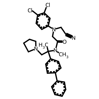 CN(C(=O)CN(CC#N)c1ccc(Cl)c(Cl)c1)C(C)(CN1CCCC1)c1ccc(-c2ccccc2)cc1